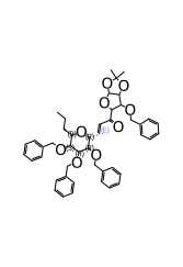 CCC[C@H]1O[C@H](/C=C/C(=O)C2OC3OC(C)(C)OC3C2OCc2ccccc2)[C@@H](OCc2ccccc2)[C@H](OCc2ccccc2)[C@H]1OCc1ccccc1